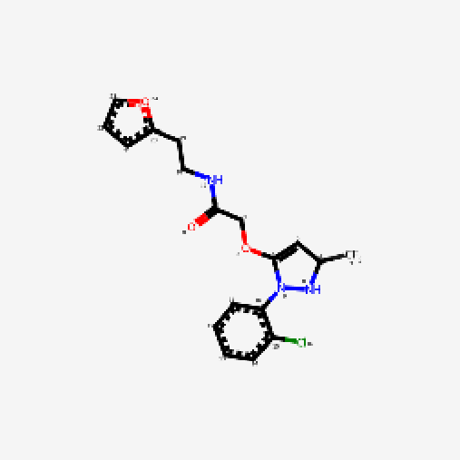 O=C(COC1=CC(C(F)(F)F)NN1c1ccccc1Cl)NCCc1ccco1